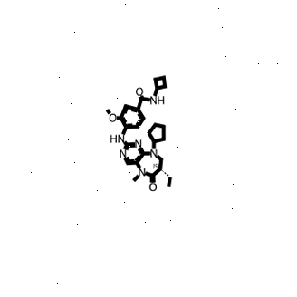 CC[C@H]1CN(C2CCCC2)c2nc(Nc3ccc(C(=O)NC4CCC4)cc3OC)ncc2N(C)C1=O